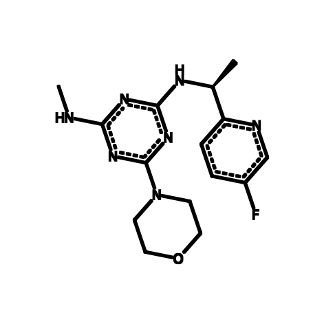 CNc1nc(N[C@@H](C)c2ccc(F)cn2)nc(N2CCOCC2)n1